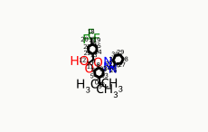 CC(C)(C)c1ccc(OC(C(=O)O)c2ccc(C(F)(F)F)cc2)c(-n2nc3ccccc3n2)c1